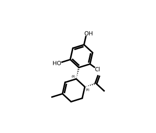 C=C(C)[C@@H]1CCC(C)=C[C@@H]1c1c(O)cc(O)cc1Cl